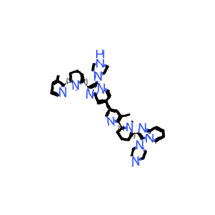 Cc1cccnc1[C@@H]1CCC[C@H](c2nc3cc(-c4cnc([C@@H]5CCC[C@H](c6nc7ccccn7c6N6CCN(C)CC6)N5C)c(C)c4)ccn3c2N2CCNCC2)N1C